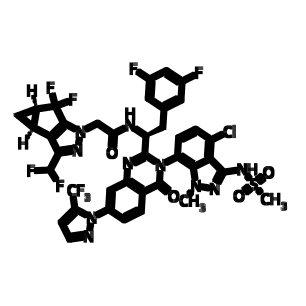 Cn1nc(NS(C)(=O)=O)c2c(Cl)ccc(-n3c([C@H](Cc4cc(F)cc(F)c4)NC(=O)Cn4nc(C(F)F)c5c4C(F)(F)[C@@H]4C[C@H]54)nc4cc(-n5nccc5C(F)(F)F)ccc4c3=O)c21